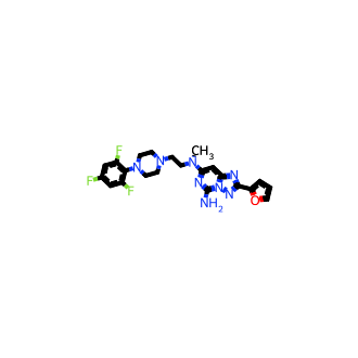 CN(CCN1CCN(c2c(F)cc(F)cc2F)CC1)c1cc2nc(-c3ccco3)nn2c(N)n1